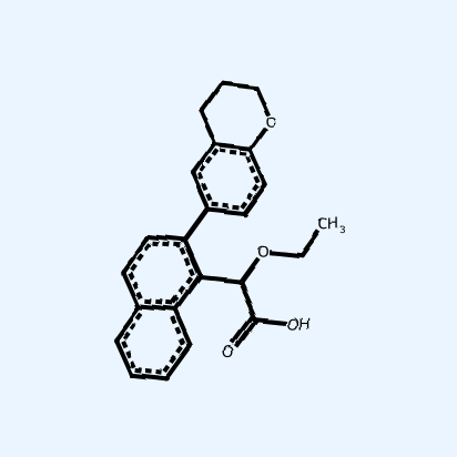 CCOC(C(=O)O)c1c(-c2ccc3c(c2)CCCO3)ccc2ccccc12